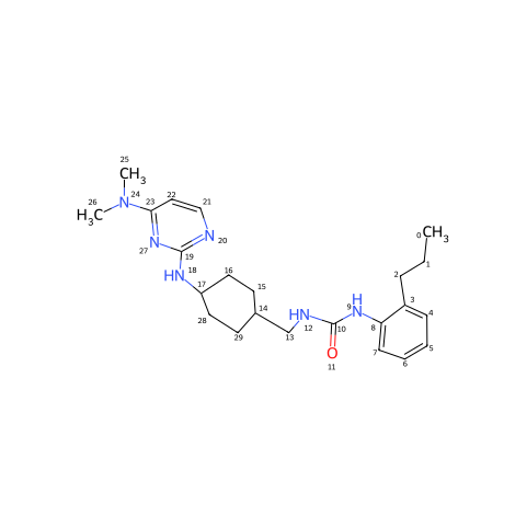 CCCc1ccccc1NC(=O)NCC1CCC(Nc2nccc(N(C)C)n2)CC1